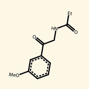 CCC(=O)NCC(=O)c1cccc(OC)c1